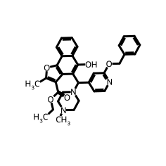 CCOC(=O)c1c(C)oc2c1c(C(c1ccnc(OCc3ccccc3)c1)N1CCN(C)CC1)c(O)c1ccccc12